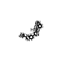 Cn1cc(-c2cnc3ccc(-c4cncc(NS(=O)(=O)c5cccc6nonc56)c4)cc3n2)cn1